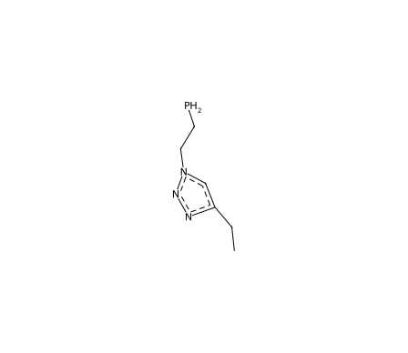 CCc1cn(CCP)nn1